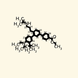 CCOC(=O)c1ccc(-c2ccc(CCCNC(C)C)c(-c3ccc(N(CC)CC)c(C(C)(C)C)c3)c2)cc1